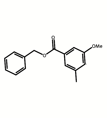 COc1[c]c(C)cc(C(=O)OCc2ccccc2)c1